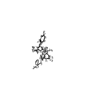 CCOC(=O)Cn1ncc2c1CCCC2N(C)S(=O)(=O)c1cc(-c2ccc(F)cc2)cc(C(F)(F)F)c1